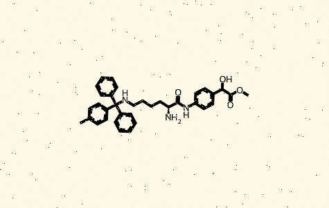 COC(=O)C(O)c1ccc(NC(=O)[C@@H](N)CCCCNC(c2ccccc2)(c2ccccc2)c2ccc(C)cc2)cc1